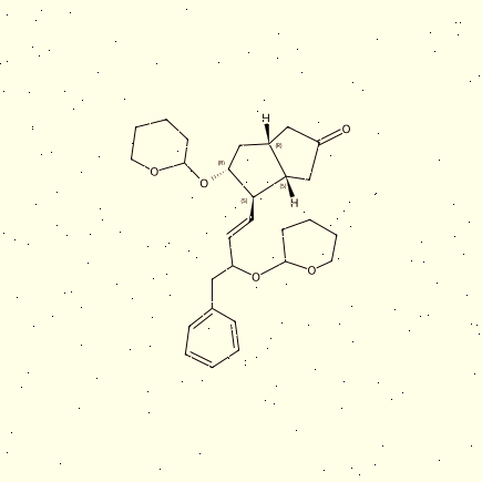 O=C1C[C@H]2C[C@@H](OC3CCCCO3)[C@H](C=CC(Cc3ccccc3)OC3CCCCO3)[C@H]2C1